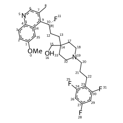 COc1ccc2ncc(C)c([C@H](F)CCC3(CO)CCN(CCCc4c(F)cc(F)cc4F)CC3)c2c1